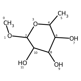 COC1OC(C)C(O)C(O)C1O